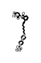 CC(C)(C)OC(=O)N1CCC(N2CCN(CCCCCCC#Cc3cccc4c3CN(C3CCC(=O)NC3=O)C4=O)CC2)CC1